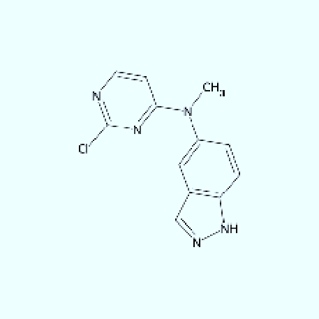 CN(c1ccc2[nH]ncc2c1)c1ccnc(Cl)n1